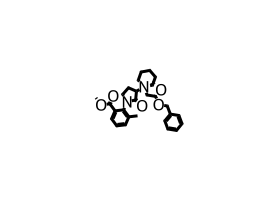 COC(=O)c1cccc(C)c1N1CCC([N+]2(CC(=O)OCc3ccccc3)CCCCC2)C1=O